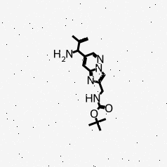 C=C(C)C(N)c1cnn2cc(CNC(=O)OC(C)(C)C)nc2c1